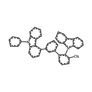 N#Cc1cccc(-c2cccc(-c3cccc4c3c3ccccc3n4-c3ccccc3)c2)c1-n1c2ccccc2c2ccccc21